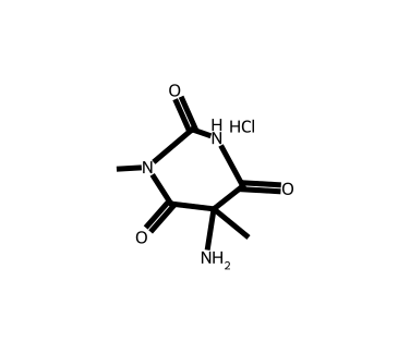 CN1C(=O)NC(=O)C(C)(N)C1=O.Cl